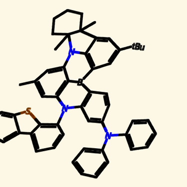 Cc1cc2c3c(c1)N1c4c(cc(C(C)(C)C)cc4C4(C)CCCCC14C)B3c1ccc(N(c3ccccc3)c3ccccc3)cc1N2c1cccc2c1sc1ccccc12